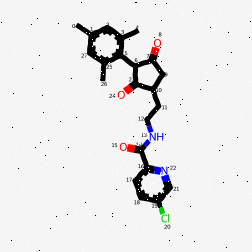 Cc1cc(C)c(C2C(=O)CC(CCNC(=O)c3ccc(Cl)cn3)C2=O)c(C)c1